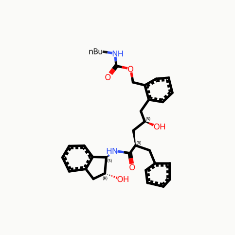 CCCCNC(=O)OCc1ccccc1C[C@@H](O)C[C@@H](Cc1ccccc1)C(=O)N[C@H]1c2ccccc2C[C@H]1O